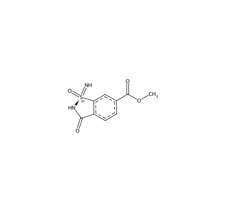 COC(=O)c1ccc2c(c1)[S@@](=N)(=O)NC2=O